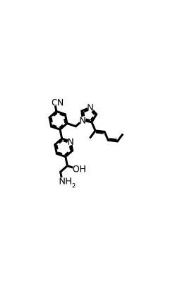 C/C=C\C=C(/C)c1cncn1Cc1cc(C#N)ccc1-c1ccc(C(O)CN)cn1